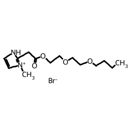 CCCCOCCOCCOC(=O)Cc1[nH]cc[n+]1C.[Br-]